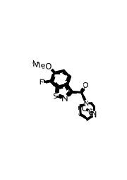 COc1ccc2c(C(=O)N3CCN4CCC3CC4)nsc2c1F